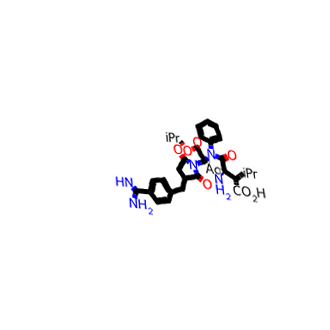 CC(=O)[C@](C(=O)OC(C)C)(N1C(=O)CC(Cc2ccc(C(=N)N)cc2)C1=O)N(C(=O)[C@@H](N)C(C(=O)O)C(C)C)c1ccccc1